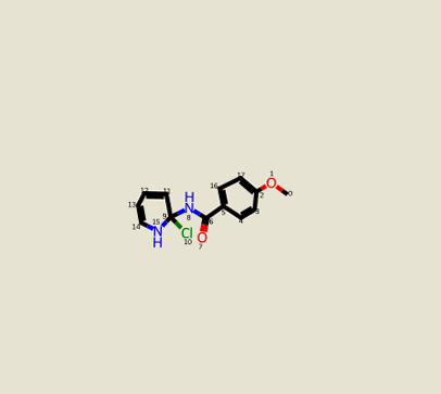 COc1ccc(C(=O)NC2(Cl)C=CC=CN2)cc1